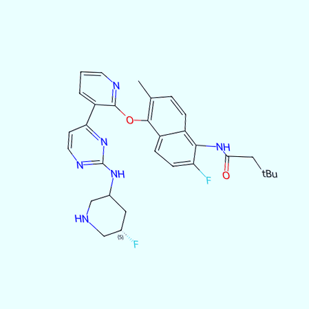 Cc1ccc2c(NC(=O)CC(C)(C)C)c(F)ccc2c1Oc1ncccc1-c1ccnc(NC2CNC[C@@H](F)C2)n1